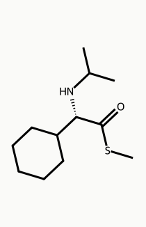 CSC(=O)[C@@H](NC(C)C)C1CCCCC1